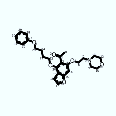 CC(=O)c1c(OCCN2CCOCC2)cc2occc2c1OCCCCOc1ccccc1